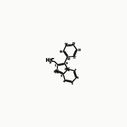 Cc1nc2ccccn2c1-c1[c]cccc1